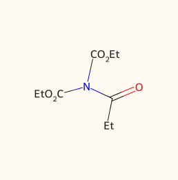 CCOC(=O)N(C(=O)CC)C(=O)OCC